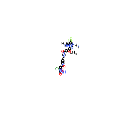 COc1cc2nc(C)nc(N[C@@H](C)c3cc(N)cc(C(F)(F)F)c3)c2cc1C1CCC(C(=O)N2CCN(CCC3CCC4(CC3)CCN(C(=O)c3ccc(Cl)c(N5CCC(=O)NC5=O)c3)CC4)CC2)CC1